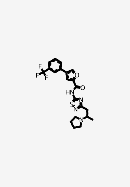 CC(Cc1nsc(NC(=O)c2cc(-c3cccc(C(F)(F)F)c3)co2)n1)N1CCCC1